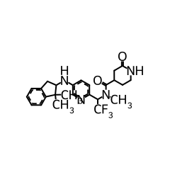 CN(C(=O)C1CCNC(=O)C1)C(c1ccc(NC2Cc3ccccc3C2(C)C)cn1)C(F)(F)F